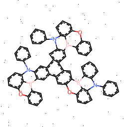 c1ccc(N2c3ccccc3B3c4cc5c(cc4Oc4cccc2c43)c2cc3c(cc2c2cc4c(cc52)B2c5ccccc5Oc5cccc(c52)N4c2ccccc2)N(c2ccccc2)c2cccc4c2B3c2ccccc2O4)cc1